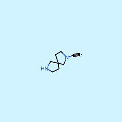 [C]#CN1CCC2(CCNC2)C1